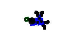 C=CCN(CC=C)c1nc(Nc2ccc(Cl)cc2)nc(N(CC=C)CC=C)n1